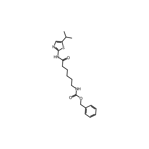 CC(C)c1cnc(NC(=O)CCCCCNC(=O)OCc2ccccc2)s1